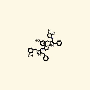 O=C1NCC/C1=C\c1c(-c2ccccc2)nc(N2CC/C(=C\c3c(Cc4ccccc4)ncn3Cc3cccc(O)c3)C2=O)n1Cc1cccc(O)c1